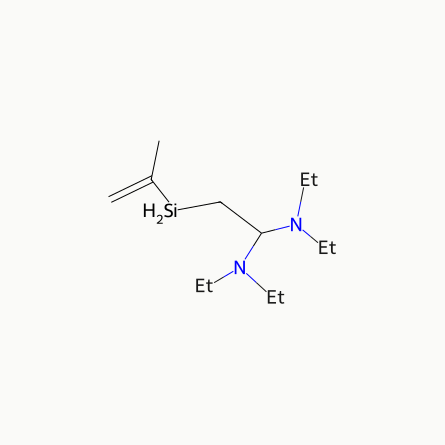 C=C(C)[SiH2]CC(N(CC)CC)N(CC)CC